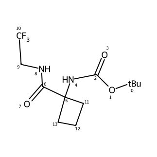 CC(C)(C)OC(=O)NC1(C(=O)NCC(F)(F)F)CCC1